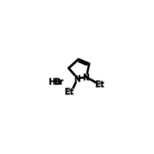 Br.CCN1C=CCN1CC